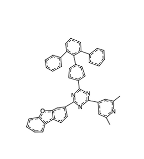 Cc1cc(-c2nc(-c3ccc(-c4c(-c5ccccc5)cccc4-c4ccccc4)cc3)nc(-c3ccc4c(c3)oc3ccccc34)n2)cc(C)n1